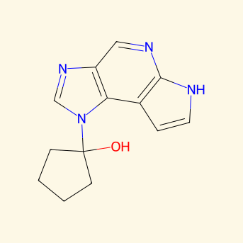 OC1(n2cnc3cnc4[nH]ccc4c32)CCCC1